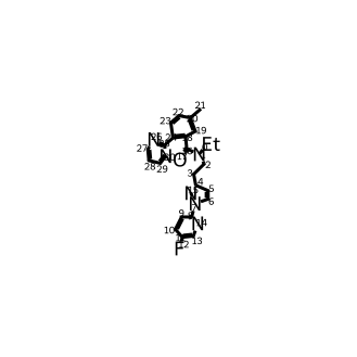 CCN(CCc1ccn(-c2ccc(F)cn2)n1)C(=O)c1cc(C)ccc1-c1ncccn1